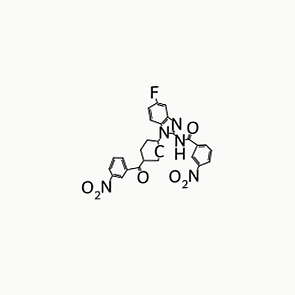 O=C(Nc1nc2cc(F)ccc2n1C1CCC(C(=O)c2cccc([N+](=O)[O-])c2)CC1)c1cccc([N+](=O)[O-])c1